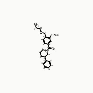 COc1cc(C(=O)N2CCCC(c3ccccc3)C2)ccc1COCCC(F)(F)F